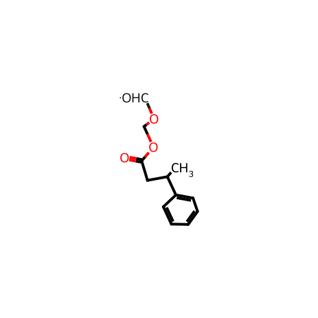 CC(CC(=O)OCO[C]=O)c1ccccc1